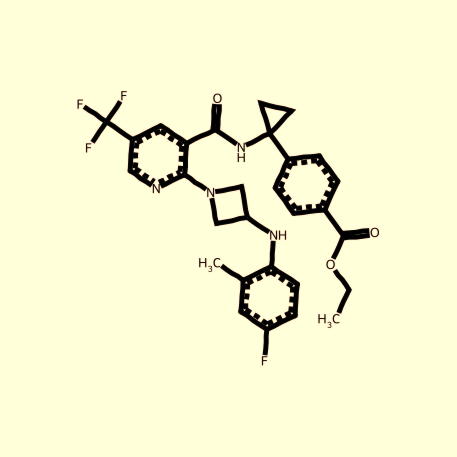 CCOC(=O)c1ccc(C2(NC(=O)c3cc(C(F)(F)F)cnc3N3CC(Nc4ccc(F)cc4C)C3)CC2)cc1